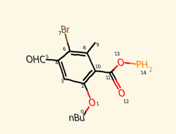 CCCCOc1cc(C=O)c(Br)c(C)c1C(=O)OP